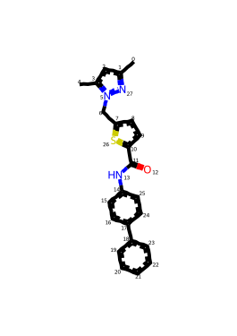 Cc1cc(C)n(Cc2ccc(C(=O)Nc3ccc(-c4ccccc4)cc3)s2)n1